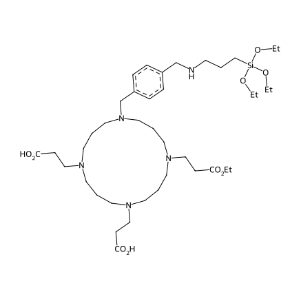 CCOC(=O)CCN1CCCN(CCC(=O)O)CCCN(CCC(=O)O)CCCN(Cc2ccc(CNCCC[Si](OCC)(OCC)OCC)cc2)CCC1